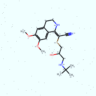 COc1cc2c(cc1OC)C(=C(C#N)SCC(O)CNC(C)(C)C)NCC2